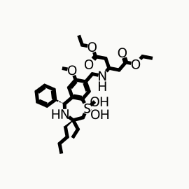 CCCC[C@]1(CC)CS(O)(O)c2cc(CNC(CC(=O)OCC)CC(=O)OCC)c(OC)cc2[C@@H](c2ccccc2)N1